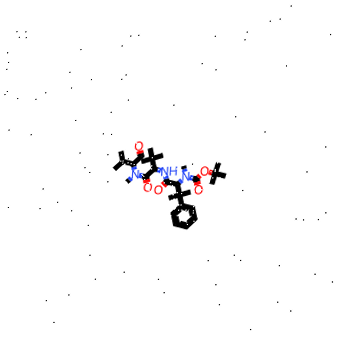 CC(C)C(C=O)N(C)C(=O)C(NC(=O)C(N(C)C(=O)OC(C)(C)C)C(C)(C)c1ccccc1)C(C)(C)C